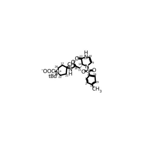 Cc1ccc(S(=O)(=O)N2C=CNC(=O)[C@H]2CC(=O)NC2(C)CC[N+](C(=O)[O-])(C(C)(C)C)CC2)cc1